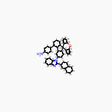 Nc1ccc(-c2cccc3c2-c2cc(-n4c(-c5ccc6ccccc6c5)nc5ccccc54)ccc2C32c3ccccc3Oc3ccccc32)cc1